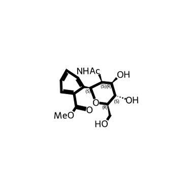 COC(=O)c1ccccc1[C@@H]1O[C@H](CO)[C@@H](O)[C@H](O)[C@@H]1NC(C)=O